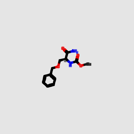 CC(C)(C)OC(=O)N[C@@H](COCc1ccccc1)C(N)=O